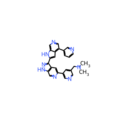 CN(C)Cc1cncc(-c2cc3c(-c4cc5c(-c6cccnc6)cncc5[nH]4)n[nH]c3cn2)c1